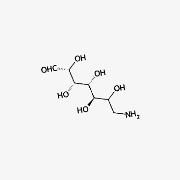 NCC(O)[C@@H](O)[C@@H](O)[C@H](O)[C@@H](O)C=O